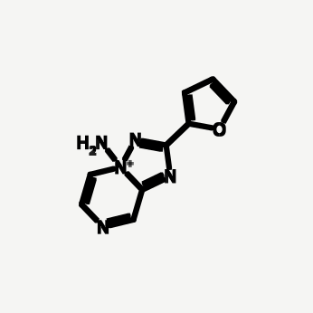 N[N+]12C=CN=CC1=NC(c1ccco1)=N2